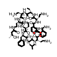 CC[C@H](NC(=O)[C@H](CCN)NC(=O)c1ccnc(-c2ccccc2)c1)C(=O)N[C@H](CN)C(=O)N[C@@H](CCNC(=O)C[C@@H](C)O)C(=O)N[C@@H](CCN)C(=O)N[C@H](Cc1ccccc1)C(=O)N[C@@H](CC(C)C)C(=O)N[C@@H](CCN)C(=O)N[C@@H](CCN)C(N)=O